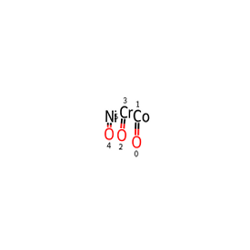 [O]=[Co].[O]=[Cr].[O]=[Ni]